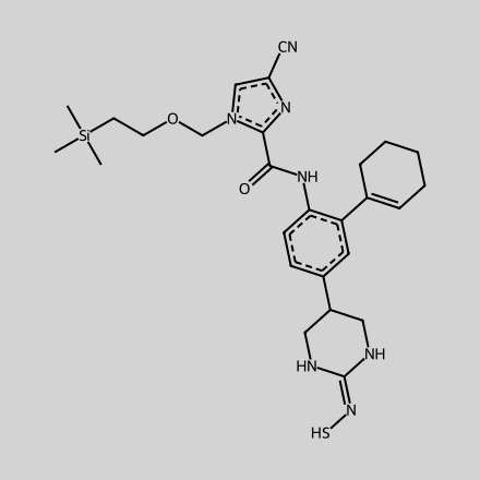 C[Si](C)(C)CCOCn1cc(C#N)nc1C(=O)Nc1ccc(C2CNC(=NS)NC2)cc1C1=CCCCC1